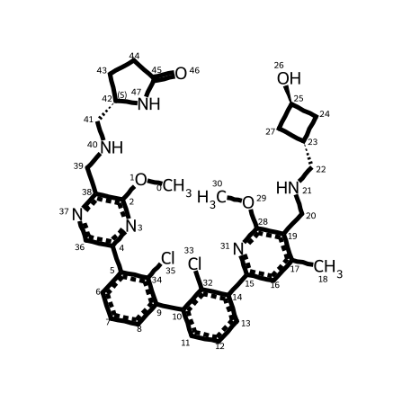 COc1nc(-c2cccc(-c3cccc(-c4cc(C)c(CNC[C@H]5C[C@H](O)C5)c(OC)n4)c3Cl)c2Cl)cnc1CNC[C@@H]1CCC(=O)N1